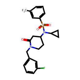 O=C1CC(N(C2CC2)S(=O)(=O)c2cccc(C(F)(F)F)c2)CCN1Cc1cccc(F)c1